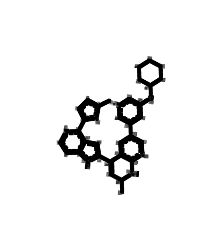 Cc1ccc(-c2nccc3[nH]c(C4=CC(C)Nc5ncc(-c6cncc(OC7CCCCC7)c6)cc54)cc23)s1